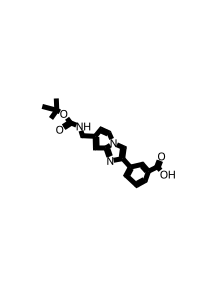 CC(C)(C)OC(=O)NCc1ccn2cc(-c3cccc(C(=O)O)c3)nc2c1